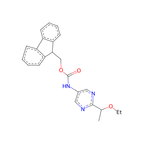 CCOC(C)c1ncc(NC(=O)OCC2c3ccccc3-c3ccccc32)cn1